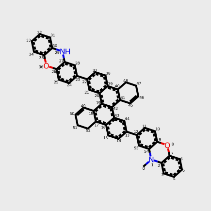 CN1c2ccccc2Oc2ccc(-c3ccc4c5c(c6c7cc(-c8ccc9c(c8)Nc8ccccc8O9)ccc7c7c(c6c4c3)C=CCC7)C=CCC5)cc21